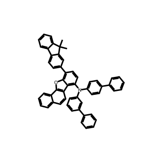 CC1(C)c2ccccc2-c2ccc(-c3ccc(N(c4ccc(-c5ccccc5)cc4)c4cccc(-c5ccccc5)c4)c4c3oc3c5ccccc5ccc34)cc21